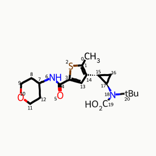 Cc1sc(C(=O)NC2CCOCC2)cc1[C@@H]1C[C@H]1N(C(=O)O)C(C)(C)C